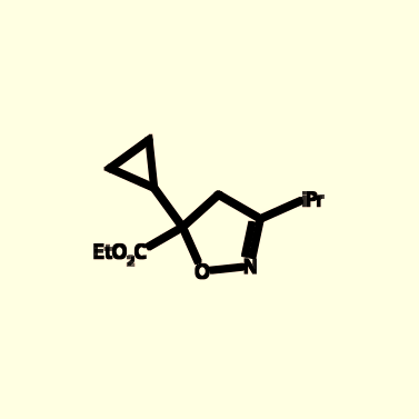 CCOC(=O)C1(C2CC2)CC(C(C)C)=NO1